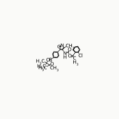 Cc1noc(-c2ccc(B3OC(C)(C)C(C)(C)O3)cc2)c1NC(=O)O[C@H](C)c1ccccc1Cl